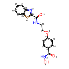 O=C(NO)c1ccc(OCCNC(=O)c2nc3ccccc3s2)cc1